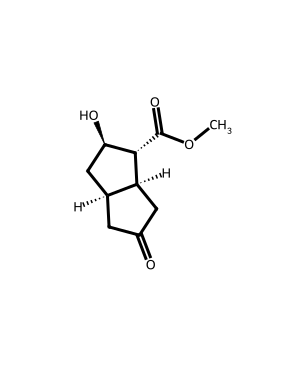 COC(=O)[C@@H]1[C@H]2CC(=O)C[C@H]2C[C@H]1O